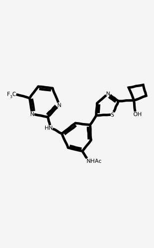 CC(=O)Nc1cc(Nc2nccc(C(F)(F)F)n2)cc(-c2cnc(C3(O)CCC3)s2)c1